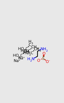 CC(=O)O.CC(=O)O.CC(=O)O.CC(=O)O.NCCN.O=S([O-])[O-].[Na+].[Na+]